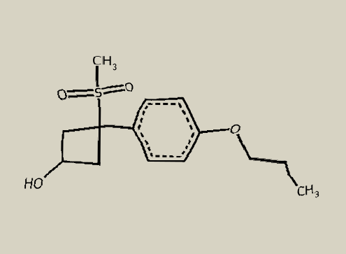 CCCOc1ccc(C2(S(C)(=O)=O)CC(O)C2)cc1